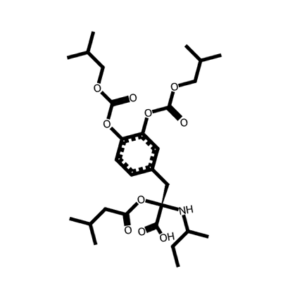 CCC(C)N[C@@](Cc1ccc(OC(=O)OCC(C)C)c(OC(=O)OCC(C)C)c1)(OC(=O)CC(C)C)C(=O)O